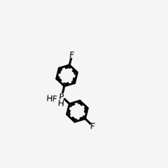 F.Fc1ccc(Pc2ccc(F)cc2)cc1